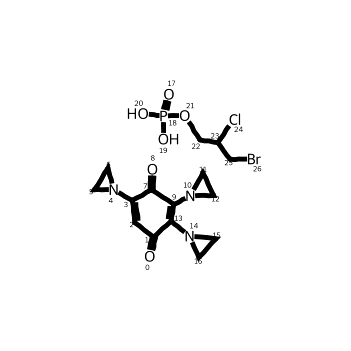 O=C1C=C(N2CC2)C(=O)C(N2CC2)=C1N1CC1.O=P(O)(O)OCC(Cl)CBr